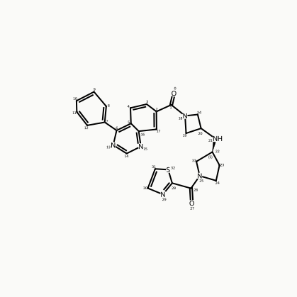 O=C(c1ccc2c(-c3ccccc3)ncnc2c1)N1CC(N[C@H]2CCN(C(=O)c3nccs3)C2)C1